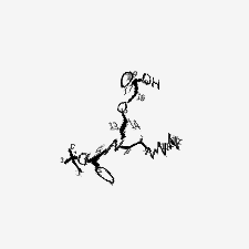 CC(C)(C)OC(=O)N(CCN=[N+]=[N-])CCOCC(=O)O